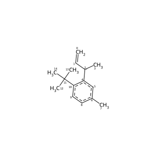 C=C[C](C)c1cc(C)ccc1C(C)(C)C